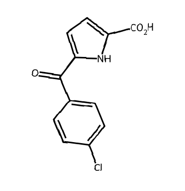 O=C(O)c1ccc(C(=O)c2ccc(Cl)cc2)[nH]1